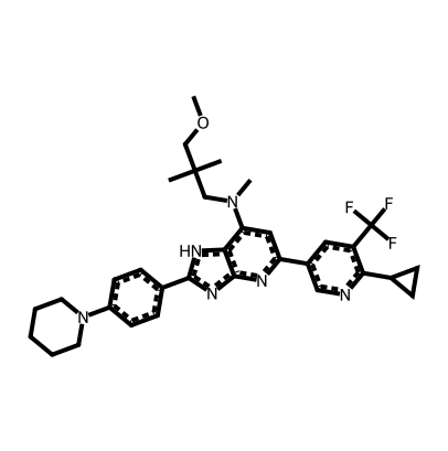 COCC(C)(C)CN(C)c1cc(-c2cnc(C3CC3)c(C(F)(F)F)c2)nc2nc(-c3ccc(N4CCCCC4)cc3)[nH]c12